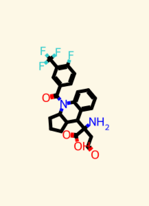 NC(CC=O)(C(=O)O)C1c2ccccc2N(C(=O)c2ccc(F)c(C(F)(F)F)c2)C2CCCC21